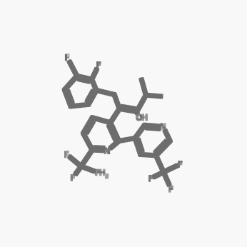 CC(C)/C(O)=C(\Cc1cccc(F)c1F)c1ccc(C(F)(F)P)nc1-c1cncc(C(F)(F)F)c1